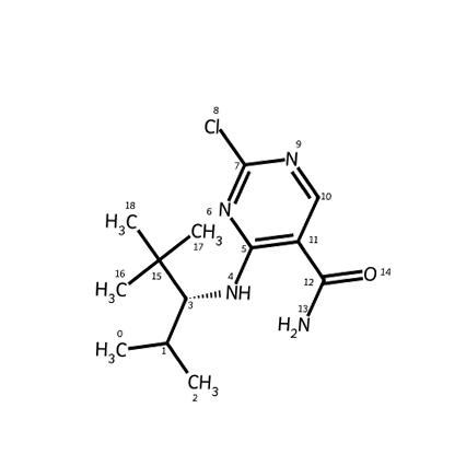 CC(C)[C@@H](Nc1nc(Cl)ncc1C(N)=O)C(C)(C)C